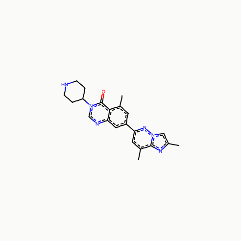 Cc1cn2nc(-c3cc(C)c4c(=O)n(C5CCNCC5)cnc4c3)cc(C)c2n1